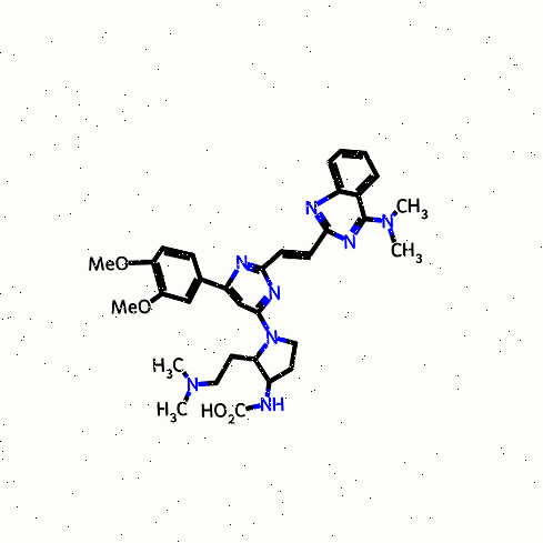 COc1ccc(-c2cc(N3CCC(NC(=O)O)C3CCN(C)C)nc(C=Cc3nc(N(C)C)c4ccccc4n3)n2)cc1OC